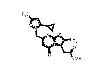 CNC(=O)Cc1c(C)sc2nc(Cn3nc(C(F)(F)F)cc3C3CC3)cc(=O)n12